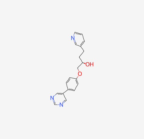 O[C@H](CCc1cccnc1)COc1ccc(-c2cncnc2)cc1